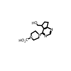 O=C(O)N1CCN(c2ncnc3c2C(CO)CC3)CC1